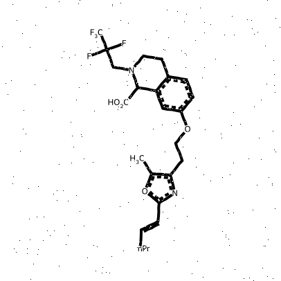 CCCC=Cc1nc(CCOc2ccc3c(c2)C(C(=O)O)N(CC(F)(F)C(F)(F)F)CC3)c(C)o1